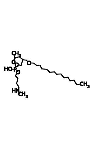 CCCCCCCCCCCCCCCOCC(COP(O)OCCCCNC)CC(C)=O